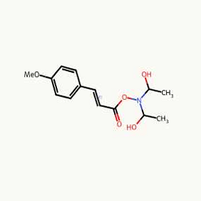 COc1ccc(/C=C/C(=O)ON(C(C)O)C(C)O)cc1